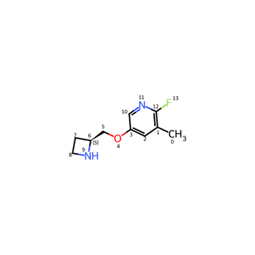 Cc1cc(OC[C@@H]2CCN2)cnc1F